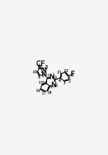 Fc1ccc(-c2nc(-n3ccc(C(F)(F)F)n3)c3ccccc3n2)cc1